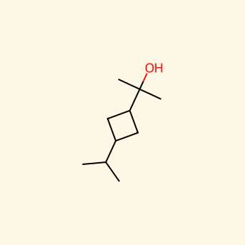 CC(C)C1CC(C(C)(C)O)C1